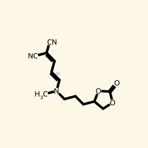 CN(/C=C/C=C(C#N)C#N)CCCC1COC(=O)O1